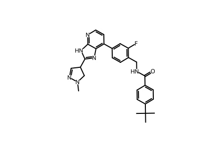 CN1CC(c2nc3c(-c4ccc(CNC(=O)c5ccc(C(C)(C)C)cc5)c(F)c4)ccnc3[nH]2)C=N1